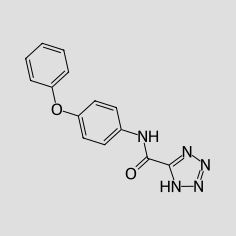 O=C(Nc1ccc(Oc2ccccc2)cc1)c1nnn[nH]1